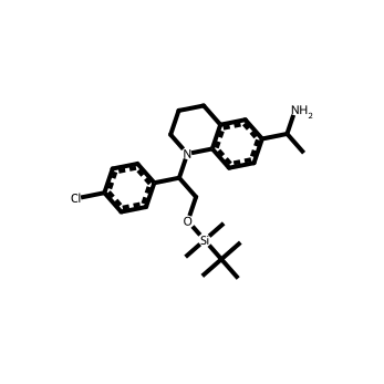 CC(N)c1ccc2c(c1)CCCN2C(CO[Si](C)(C)C(C)(C)C)c1ccc(Cl)cc1